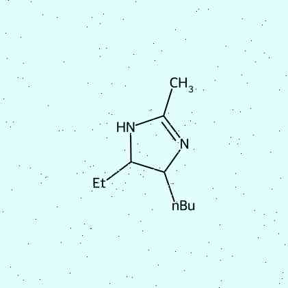 CCCCC1N=C(C)NC1CC